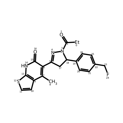 CCC(=O)N1N=C(c2c(C)c3ccsc3[nH]c2=O)CC1c1ccc(CF)cc1